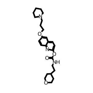 O=C(NCCC1CCOCC1)Oc1ccc2cc(OCCCN3CCCCC3)ccc2n1